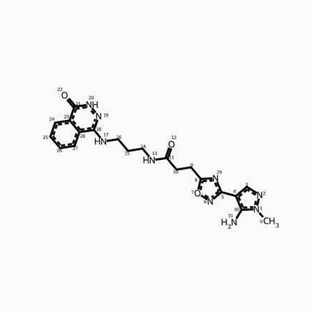 Cn1ncc(-c2noc(CCC(=O)NCCCNc3n[nH]c(=O)c4ccccc34)n2)c1N